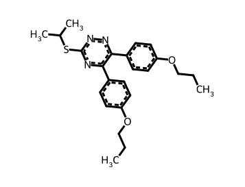 CCCOc1ccc(-c2nnc(SC(C)C)nc2-c2ccc(OCCC)cc2)cc1